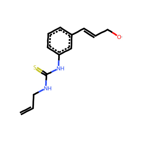 C=CCNC(=S)Nc1cccc(/C=C/C[O])c1